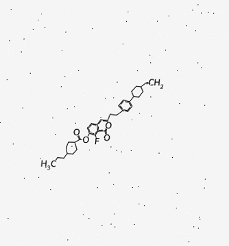 C=CC1CCC(c2ccc(CCc3cc4ccc(OC(=O)C5CCC(CCC)CC5)c(F)c4c(=O)o3)cc2)CC1